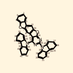 c1ccc2c(c1)oc1cc3c(cc12)oc1nc(-n2c4ccccc4c4ccccc42)nc(-n2c4ccccc4c4ccccc42)c13